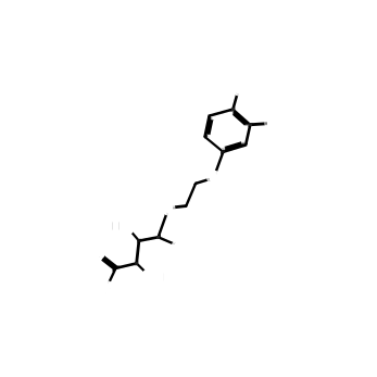 O=C(O)C(O)C(O)C(O)OCCOc1ccc(O)c(O)c1